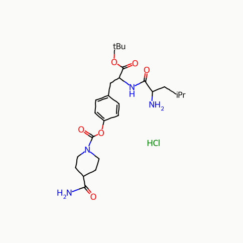 CC(C)CC(N)C(=O)NC(Cc1ccc(OC(=O)N2CCC(C(N)=O)CC2)cc1)C(=O)OC(C)(C)C.Cl